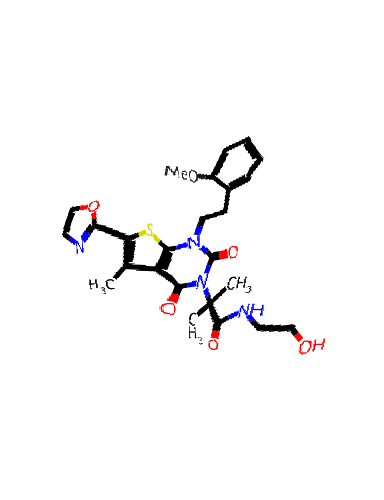 COc1ccccc1CCn1c(=O)n(C(C)(C)C(=O)NCCO)c(=O)c2c(C)c(-c3ncco3)sc21